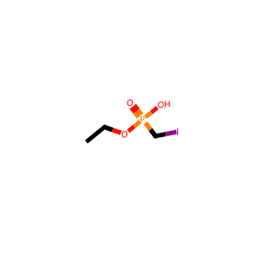 CCOP(=O)(O)CI